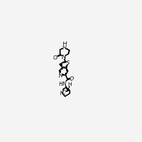 O=C(N[C@H]1CN2CCC1CC2)c1cc2sc(N3CCNCC3=O)cc2cn1